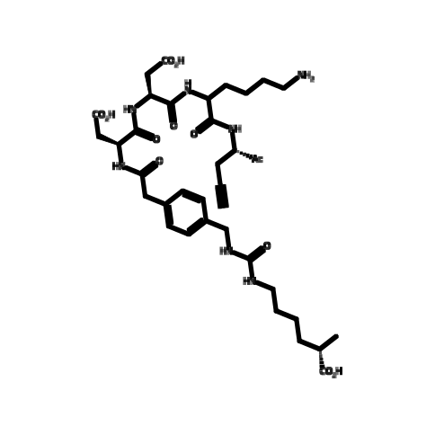 C#CC[C@H](NC(=O)C(CCCCN)NC(=O)[C@H](CC(=O)O)NC(=O)[C@H](CC(=O)O)NC(=O)Cc1ccc(CNC(=O)NCCCC[C@H](C)C(=O)O)cc1)C(C)=O